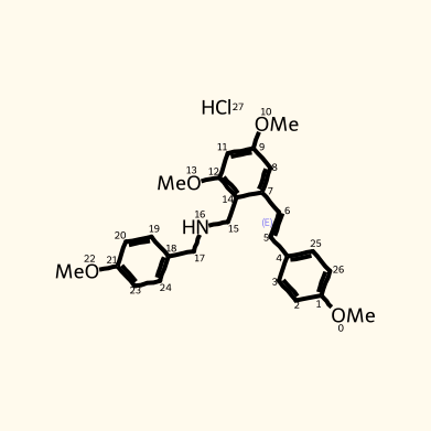 COc1ccc(/C=C/c2cc(OC)cc(OC)c2CNCc2ccc(OC)cc2)cc1.Cl